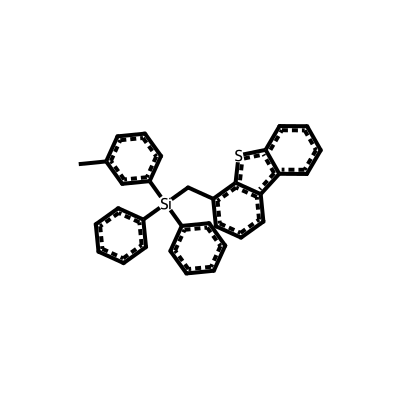 Cc1cccc([Si](Cc2cccc3c2sc2ccccc23)(c2ccccc2)c2ccccc2)c1